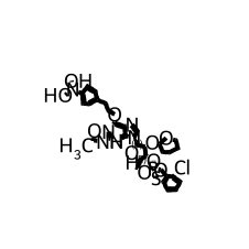 CC(=O)Nc1nc(OCCc2ccc(N(O)O)cc2)c2ncn([C@@H]3O[C@@H]4COP(=S)(Oc5ccccc5Cl)OC4C3OC3CCCCO3)c2n1